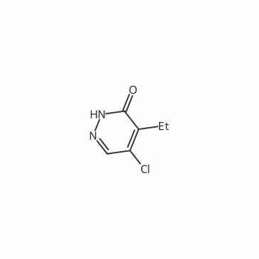 CCc1c(Cl)cn[nH]c1=O